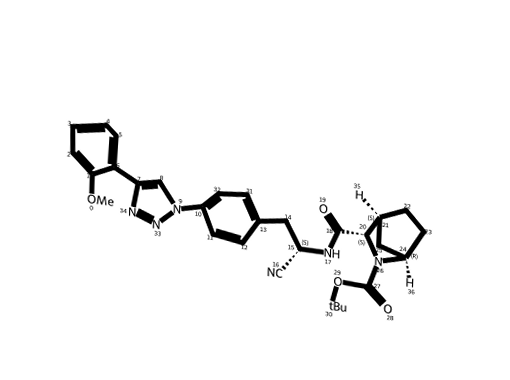 COc1ccccc1-c1cn(-c2ccc(C[C@@H](C#N)NC(=O)[C@@H]3[C@H]4CC[C@H](C4)N3C(=O)OC(C)(C)C)cc2)nn1